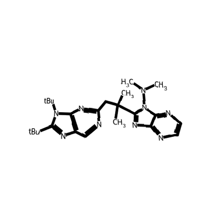 CN(C)n1c(C(C)(C)Cc2ncc3nc(C(C)(C)C)n(C(C)(C)C)c3n2)nc2nccnc21